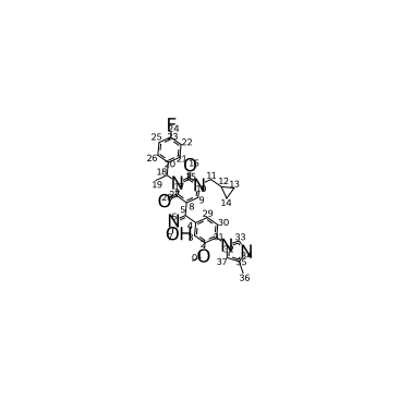 COc1cc(/C(=N\O)c2cn(CC3CC3)c(=O)n(C(C)c3ccc(F)cc3)c2=O)ccc1-n1cnc(C)c1